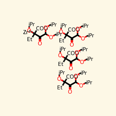 CCC(OC(C)C)(C(=O)[O-])C(=O)C(OC(C)C)OC(C)C.CCC(OC(C)C)(C(=O)[O-])C(=O)C(OC(C)C)OC(C)C.CCC(OC(C)C)(C(=O)[O-])C(=O)C(OC(C)C)OC(C)C.CCC(OC(C)C)(C(=O)[O-])C(=O)C(OC(C)C)OC(C)C.[Zr+4]